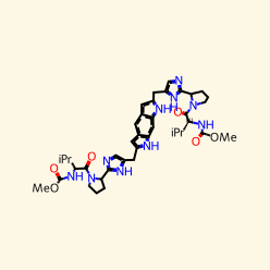 COC(=O)NC(C(=O)N1CCCC1c1ncc(Cc2cc3cc4cc(Cc5cnc(C6CCCN6C(=O)[C@@H](NC(=O)OC)C(C)C)[nH]5)[nH]c4cc3[nH]2)[nH]1)C(C)C